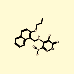 CCCOc1ccc2ccccc2c1CNc1c([N+](=O)[O-])n[nH]c(=O)c1Br